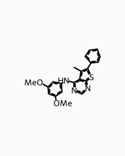 COc1cc(Nc2ncnc3sc(-c4ccccc4)c(C)c23)cc(OC)c1